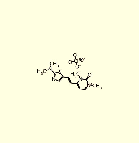 CN(C)c1ncc(/C=C/c2cc[n+](C)c(=O)n2C)s1.[O-][Cl+3]([O-])([O-])[O-]